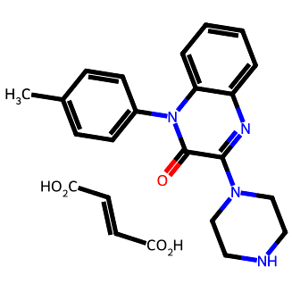 Cc1ccc(-n2c(=O)c(N3CCNCC3)nc3ccccc32)cc1.O=C(O)C=CC(=O)O